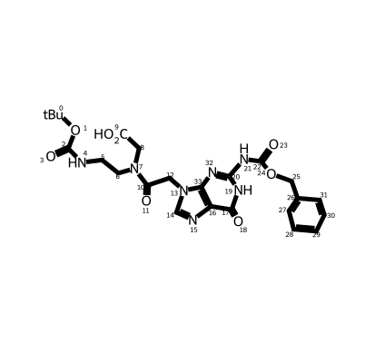 CC(C)(C)OC(=O)NCCN(CC(=O)O)C(=O)Cn1cnc2c(=O)[nH]c(NC(=O)OCc3ccccc3)nc21